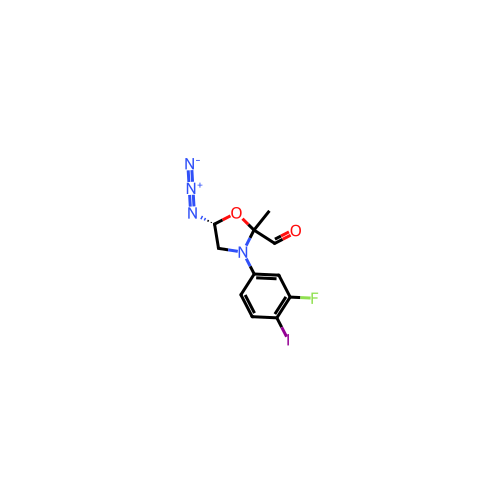 CC1(C=O)O[C@@H](N=[N+]=[N-])CN1c1ccc(I)c(F)c1